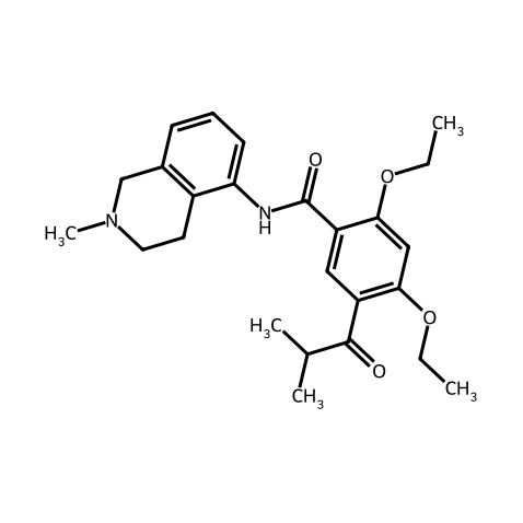 CCOc1cc(OCC)c(C(=O)C(C)C)cc1C(=O)Nc1cccc2c1CCN(C)C2